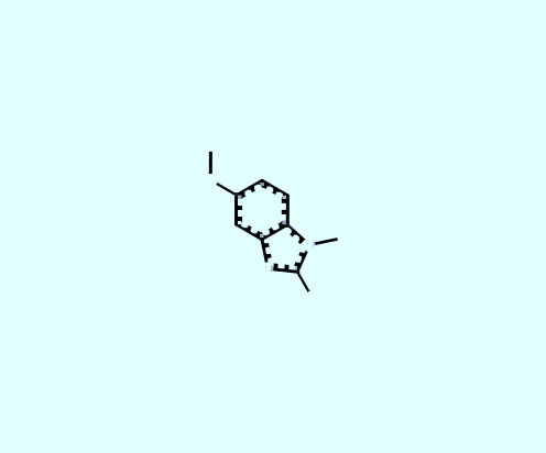 COc1ccc2c(c1)nc(Cl)n2C